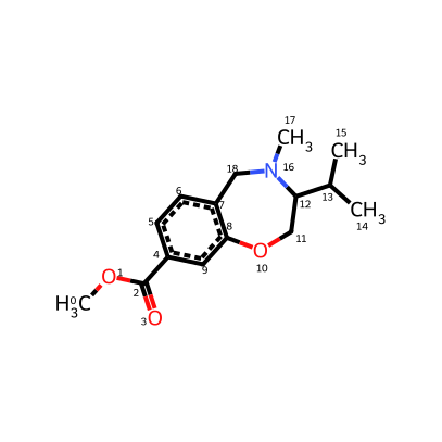 COC(=O)c1ccc2c(c1)OCC(C(C)C)N(C)C2